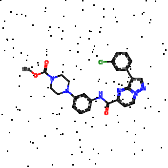 CC(C)(C)OC(=O)N1CCN(c2cccc(NC(=O)c3ccn4ncc(-c5cccc(Cl)c5)c4n3)c2)CC1